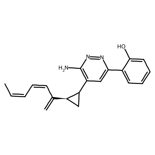 C=C(/C=C\C=C/C)[C@@H]1CC1c1cc(-c2ccccc2O)nnc1N